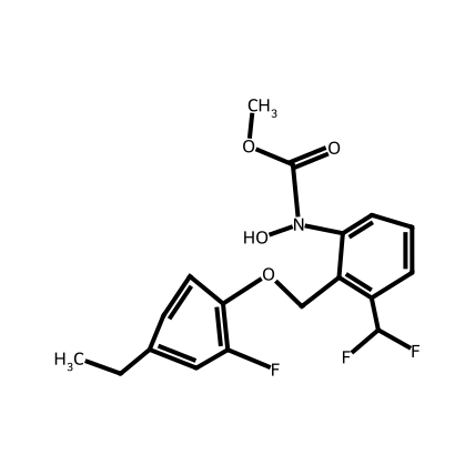 CCc1ccc(OCc2c(C(F)F)cccc2N(O)C(=O)OC)c(F)c1